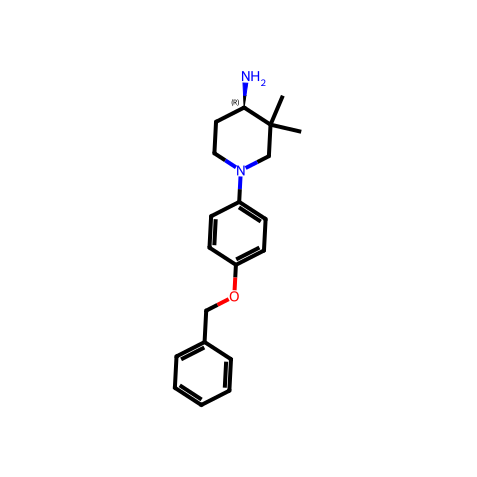 CC1(C)CN(c2ccc(OCc3ccccc3)cc2)CC[C@H]1N